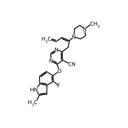 C=C/C=C(\Cc1ncnc(Oc2ccc3[nH]c(C)cc3c2F)c1C#N)N1CCN(C)CC1